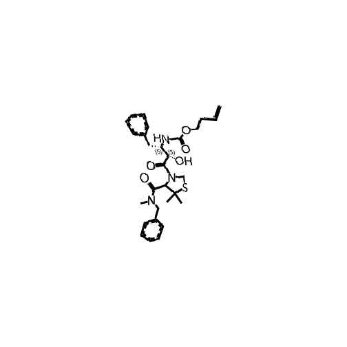 C=CCCOC(=O)N[C@@H](Cc1ccccc1)[C@H](O)C(=O)N1CSC(C)(C)C1C(=O)N(C)Cc1ccccc1